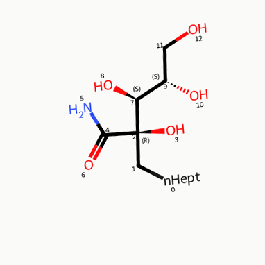 CCCCCCCC[C@](O)(C(N)=O)[C@@H](O)[C@@H](O)CO